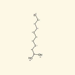 CCSCCSCCSCC(O)O